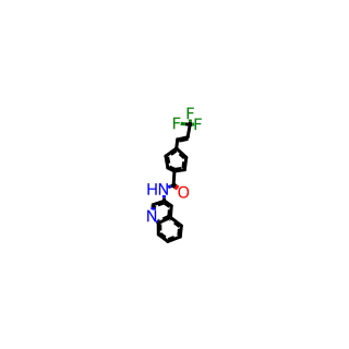 O=C(Nc1cnc2ccccc2c1)c1ccc(C=CC(F)(F)F)cc1